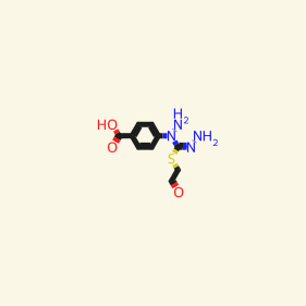 N/N=C(/SCC=O)N(N)c1ccc(C(=O)O)cc1